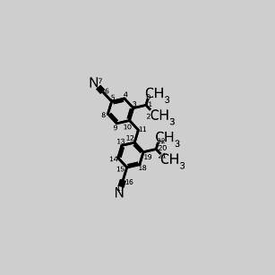 CC(C)c1cc(C#N)ccc1Cc1ccc(C#N)cc1C(C)C